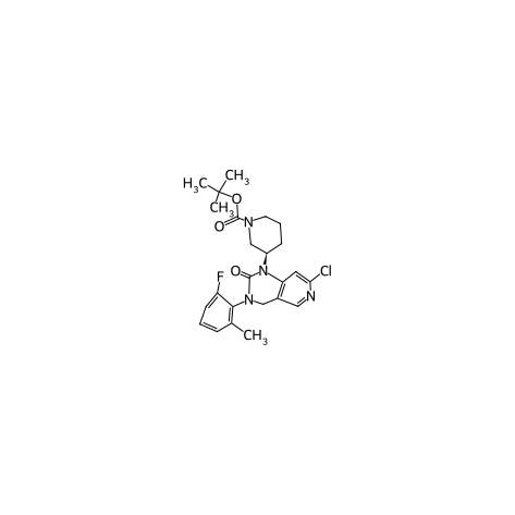 Cc1cccc(F)c1N1Cc2cnc(Cl)cc2N([C@@H]2CCCN(C(=O)OC(C)(C)C)C2)C1=O